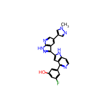 Cn1cc(-c2cnc3[nH]nc(-c4cc5c(-c6cc(O)cc(F)c6)nccc5[nH]4)c3c2)cn1